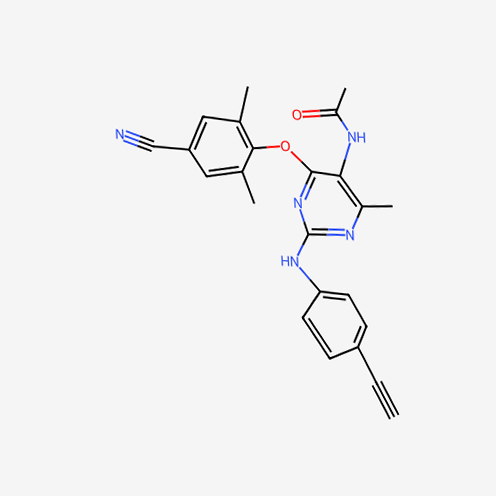 C#Cc1ccc(Nc2nc(C)c(NC(C)=O)c(Oc3c(C)cc(C#N)cc3C)n2)cc1